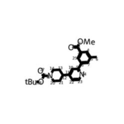 COC(=O)c1cc(C)cc(-c2cc(C3CCN(C(=O)OC(C)(C)C)CC3)ccn2)c1